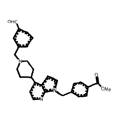 COC(=O)c1ccc(Cn2ccc3c(C4CCN(Cc5cccc(C=O)c5)CC4)ccnc32)cc1